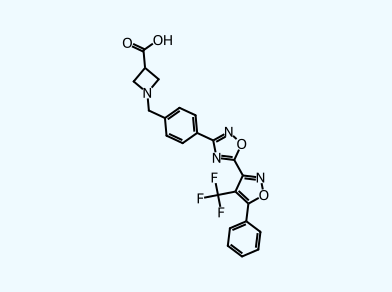 O=C(O)C1CN(Cc2ccc(-c3noc(-c4noc(-c5ccccc5)c4C(F)(F)F)n3)cc2)C1